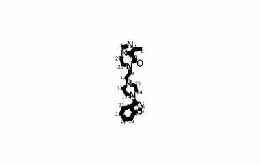 Cc1ncn2c1C(=O)N(CCN1CCN(c3nsc4ccccc34)CC1)CC2